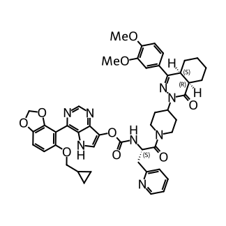 COc1ccc(C2=NN(C3CCN(C(=O)[C@H](Cc4ccccn4)NC(=O)Oc4c[nH]c5c(-c6c(OCC7CC7)ccc7c6OCO7)ncnc45)CC3)C(=O)[C@@H]3CCCC[C@H]23)cc1OC